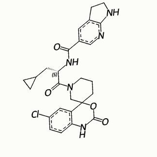 O=C1Nc2ccc(Cl)cc2C2(CCCN(C(=O)[C@H](CC3CC3)NC(=O)c3cnc4c(c3)CCN4)C2)O1